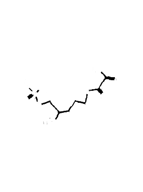 C=C(C)C(=O)OCCCC(C)COP(=O)(O)O